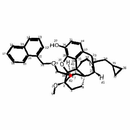 CO[C@]12CC[C@@]3(C[C@@H]1COCc1cccc4ccccc14)[C@H]1Cc4ccc(O)c5c4[C@@]3(CCN1CC1CC1)[C@H]2O5